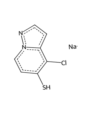 Sc1ccn2nccc2c1Cl.[Na]